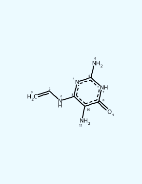 C=CNc1nc(N)[nH]c(=O)c1N